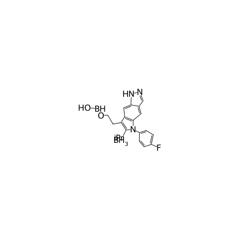 B.CC(C)c1c(CCOBO)c2cc3[nH]ncc3cc2n1-c1ccc(F)cc1